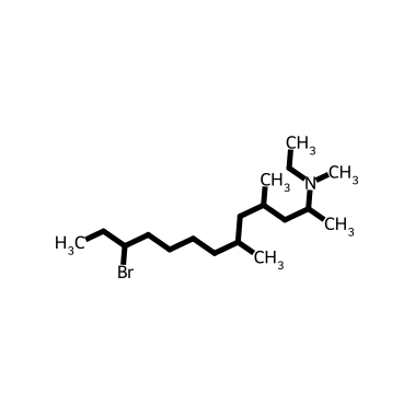 CCC(Br)CCCCC(C)CC(C)CC(C)N(C)CC